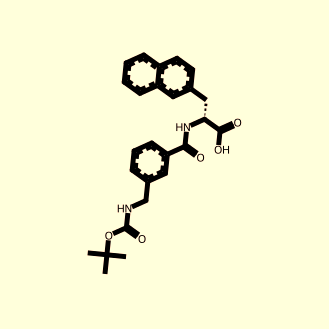 CC(C)(C)OC(=O)NCc1cccc(C(=O)N[C@H](Cc2ccc3ccccc3c2)C(=O)O)c1